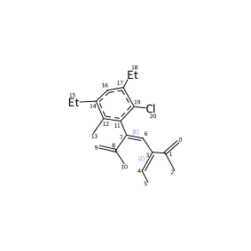 C=C(C)C(=C\C)/C=C(\C(=C)C)c1c(C)c(CC)cc(CC)c1Cl